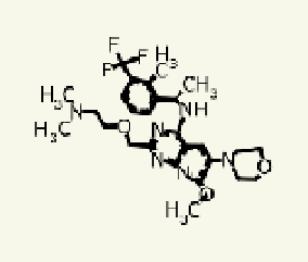 COc1nc2nc(COCCN(C)C)nc(N[C@H](C)c3cccc(C(F)(F)F)c3C)c2cc1N1CCOCC1